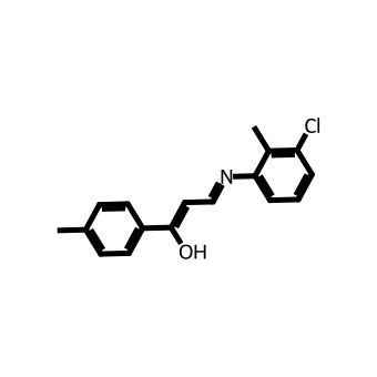 Cc1ccc(/C(O)=C/C=N/c2cccc(Cl)c2C)cc1